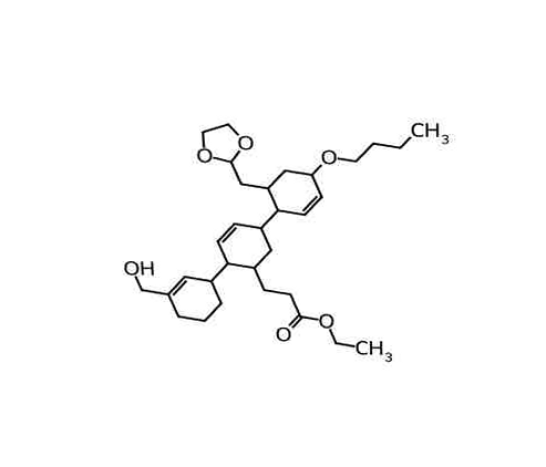 CCCCOC1C=CC(C2C=CC(C3C=C(CO)CCC3)C(CCC(=O)OCC)C2)C(CC2OCCO2)C1